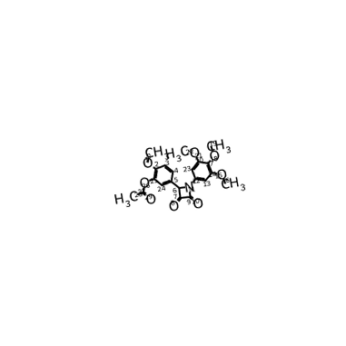 COc1ccc(C2C(=O)C(=O)N2c2cc(OC)c(OC)c(OC)c2)cc1OC(C)=O